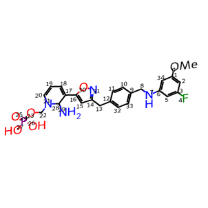 COc1cc(F)cc(NCc2ccc(Cc3cc(C4=CC=CN(COP(=O)(O)O)C4N)on3)cc2)c1